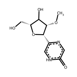 CO[C@H]1C(O)[C@@H](CO)O[C@H]1c1c[nH]c(=O)cn1